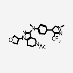 CC(=O)N1CCc2c(c(N(C)C3=CCC(C4CN(C)N=C4C(F)(F)F)C=C3)nn2C2CCOC2)C1